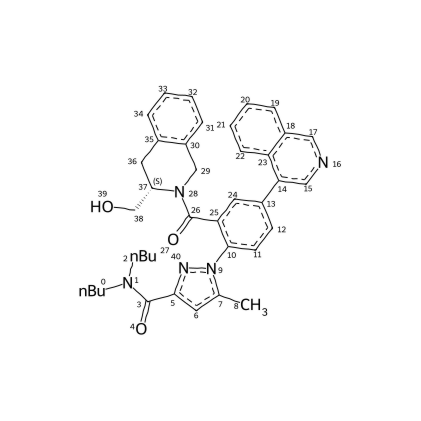 CCCCN(CCCC)C(=O)c1cc(C)n(-c2ccc(-c3cncc4ccccc34)cc2C(=O)N2Cc3ccccc3C[C@H]2CO)n1